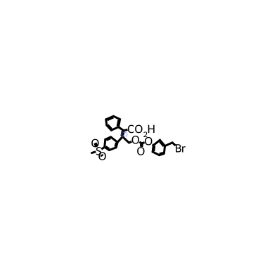 CS(=O)(=O)c1ccc(/C(COC(=O)Oc2cccc(CBr)c2)=C(/C(=O)O)c2ccccc2)cc1